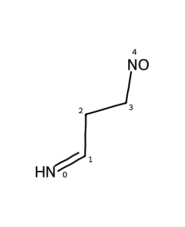 N=CCCN=O